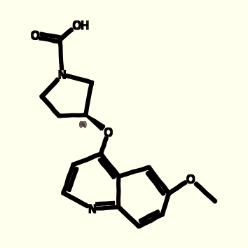 COc1ccc2nccc(O[C@H]3CCN(C(=O)O)C3)c2c1